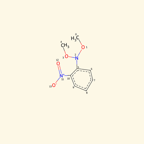 CON(OC)c1ccccc1[N+](=O)[O-]